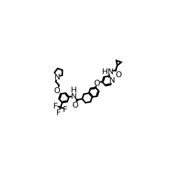 O=C(Nc1cc(OCCN2CCCC2)cc(C(F)(F)F)c1)C1CCc2ccc(Oc3ccnc(NC(=O)C4CC4)c3)cc2C1